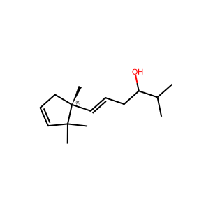 CC(C)C(O)CC=C[C@@]1(C)CC=CC1(C)C